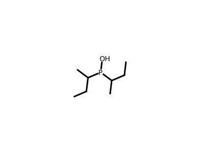 CCC(C)P(O)C(C)CC